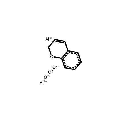 C1=Cc2ccccc2OC1.[Al+3].[Al+3].[O-2].[O-2].[O-2]